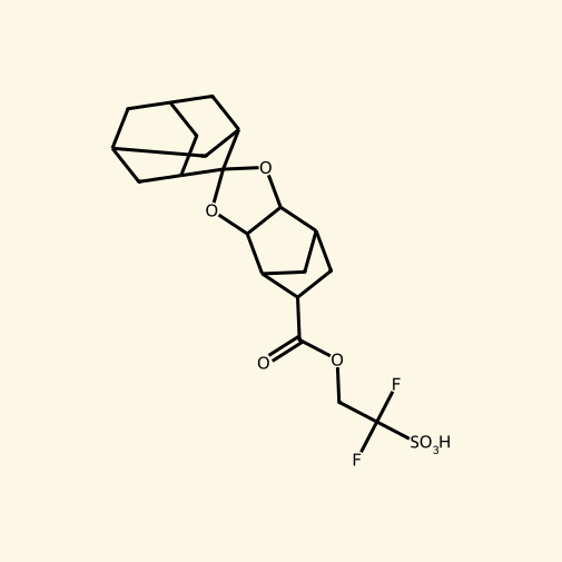 O=C(OCC(F)(F)S(=O)(=O)O)C1CC2CC1C1OC3(OC21)C1CC2CC(C1)CC3C2